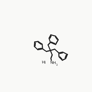 I.NCCC(Cc1ccccc1)(Cc1ccccc1)Cc1ccccc1